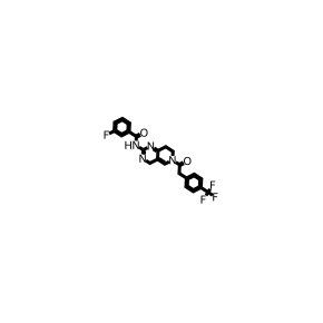 O=C(NC1=NCC2=CN(C(=O)Cc3ccc(C(F)(F)F)cc3)CCC2=N1)c1cccc(F)c1